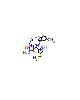 CSC1=CN(C)C(c2c3c(=O)n(C)c(=O)n(CC4CC4)c3nn2Cc2c[nH]c3ccc(C)cc23)C1